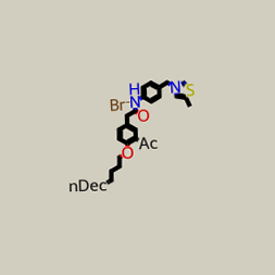 CCCCCCCCCCCCCCOc1ccc(CC(=O)Nc2ccc(C[n+]3csc(C)c3)cc2)cc1C(C)=O.[Br-]